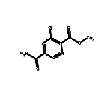 COC(=O)c1ncc(C(N)=O)cc1Cl